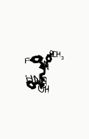 COc1ccc(-n2nc(CCC(=O)N[C@@H](C(=O)O)c3ccccc3)cc2-c2cccc(F)c2)cc1